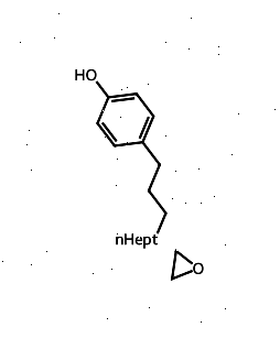 C1CO1.CCCCCCCCCCc1ccc(O)cc1